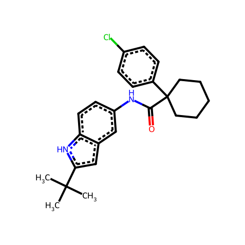 CC(C)(C)c1cc2cc(NC(=O)C3(c4ccc(Cl)cc4)CCCCC3)ccc2[nH]1